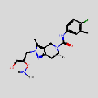 Cc1cc(NC(=O)N2Cc3c(nn(CC(CO)ON(C)C=O)c3C)C[C@H]2C)ccc1F